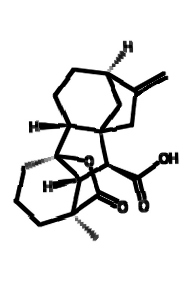 C=C1CC23C[C@H]1CC[C@H]2[C@@]12CCC[C@](C)(C(=O)O1)[C@H]2[C@@H]3C(=O)O